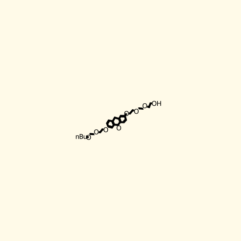 CCCCOCCOCCOc1ccc2c(c1)C(=O)c1ccc(OCCOCCOCCO)cc1C2